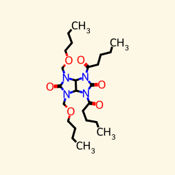 CCCCOCN1C(=O)N(COCCCC)C2C1N(C(=O)CCCC)C(=O)N2C(=O)CCCC